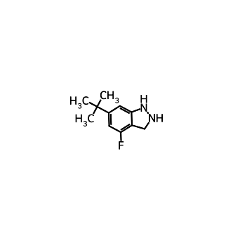 CC(C)(C)c1cc(F)c2c(c1)NNC2